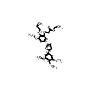 C=CCOc1c(NCC(=O)OCC)cc([C@@H]2CC[C@@H](c3cc(OC)c(OC)c(OC)c3)O2)cc1OC